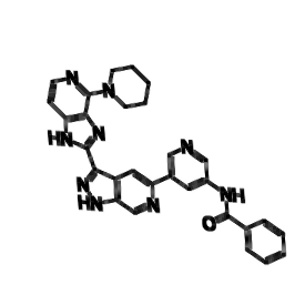 O=C(Nc1cncc(-c2cc3c(-c4nc5c(N6CCCCC6)nccc5[nH]4)n[nH]c3cn2)c1)c1ccccc1